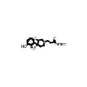 CCCCCC(=O)CCN1CCC(C)(c2cccc(O)c2)C(C)C1